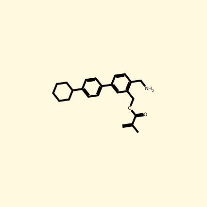 C=C(C)C(=O)OCc1cc(-c2ccc(C3CCCCC3)cc2)ccc1CN